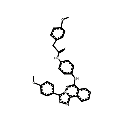 COc1ccc(CC(=O)Nc2ccc(Nc3nn4c(-c5ccc(OC)cc5)nnc4c4ccccc34)cc2)cc1